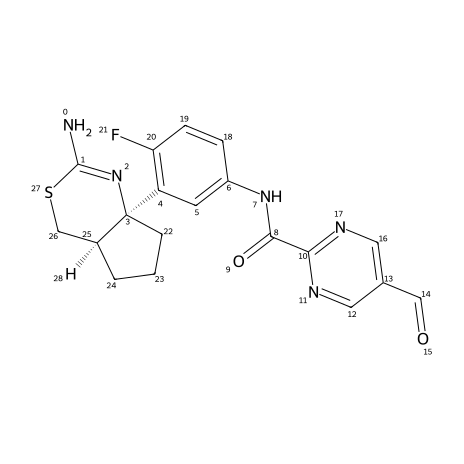 NC1=N[C@@]2(c3cc(NC(=O)c4ncc(C=O)cn4)ccc3F)CCC[C@H]2CS1